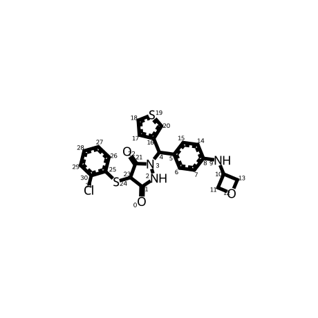 O=C1NN(C(c2ccc(NC3COC3)cc2)c2ccsc2)C(=O)C1Sc1ccccc1Cl